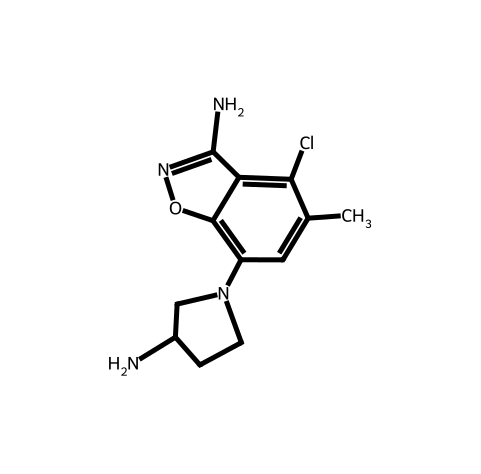 Cc1cc(N2CCC(N)C2)c2onc(N)c2c1Cl